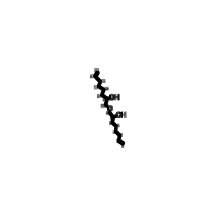 C=CCCCCC(O)COCC(O)CCCCC=C